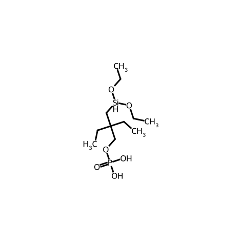 CCO[SiH](CC(CC)(CC)COP(=O)(O)O)OCC